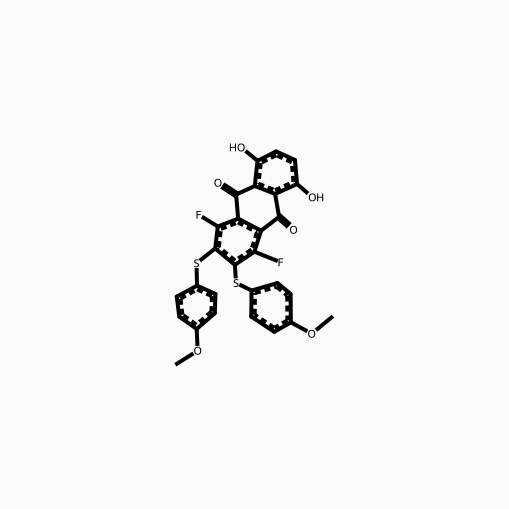 COc1ccc(Sc2c(F)c3c(c(F)c2Sc2ccc(OC)cc2)C(=O)c2c(O)ccc(O)c2C3=O)cc1